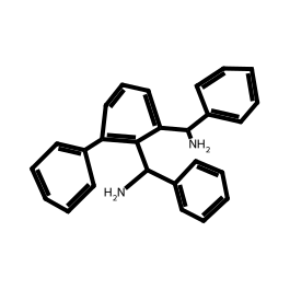 NC(c1ccccc1)c1cccc(-c2ccccc2)c1C(N)c1ccccc1